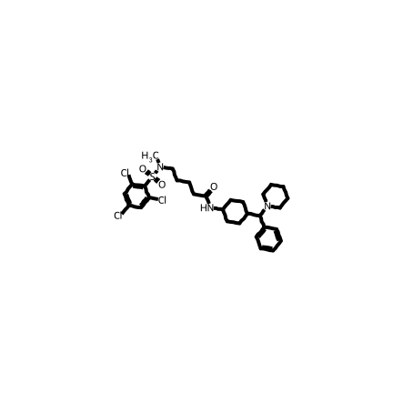 CN(CCCCC(=O)NC1CCC(C(c2ccccc2)N2CCCCC2)CC1)S(=O)(=O)c1c(Cl)cc(Cl)cc1Cl